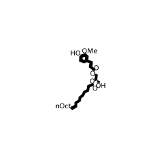 CCCCCCCC/C=C\CCCCCCCC(=O)O[C@@H](CO)COC(=O)C=Cc1ccc(O)c(OC)c1